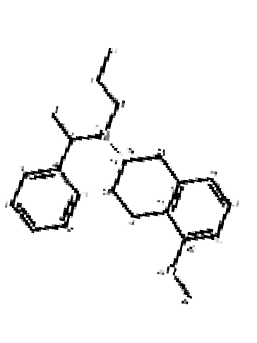 CCCN(C(C)c1ccccc1)[C@H]1CCc2c(cccc2OC)C1